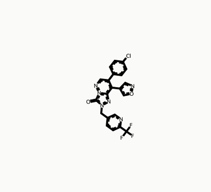 O=c1n(Cc2ccc(C(F)(F)F)nc2)nc2c(-c3cnoc3)c(-c3ccc(Cl)cc3)cnn12